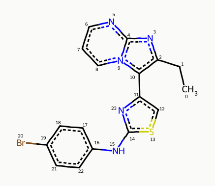 CCc1nc2ncccn2c1-c1csc(Nc2ccc(Br)cc2)n1